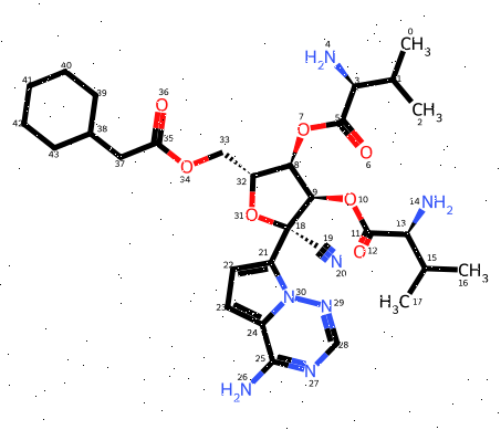 CC(C)[C@H](N)C(=O)O[C@H]1[C@@H](OC(=O)[C@@H](N)C(C)C)[C@@](C#N)(c2ccc3c(N)ncnn23)O[C@@H]1COC(=O)CC1CCCCC1